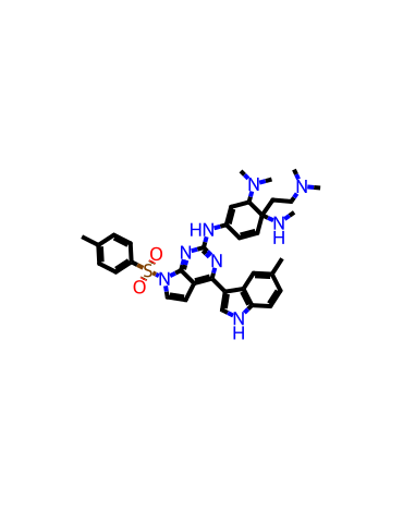 CNC1(CCN(C)C)C=CC(Nc2nc(-c3c[nH]c4ccc(C)cc34)c3ccn(S(=O)(=O)c4ccc(C)cc4)c3n2)=CC1N(C)C